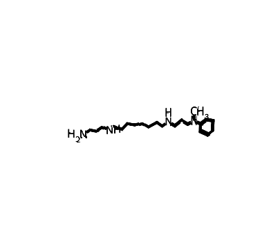 CN(CCCNCCCCCCCCNCCCN)c1ccccc1